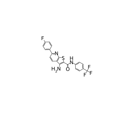 Nc1c(C(=O)Nc2ccc(C(F)(F)F)cc2)sc2nc(-c3ccc(F)cc3)ccc12